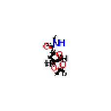 CNC(=O)[C@@H]1C[C@H]2OC(C)(C)O[C@H]2O1